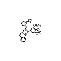 COc1cc(C(=O)N(Cc2ccc3ccccc3n2)C[C@@H]2CCCN2C2CCC2)cc2c1OC(C)(C)O2